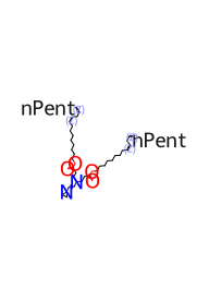 CCCCC/C=C\C/C=C\CCCCCCCCOC(=O)CCN(CCC(=O)OCCCCCCCC/C=C\C/C=C\CCCCC)CCN1CC1